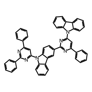 c1ccc(-c2cc(-n3c4ccccc4c4ccccc43)nc(-c3ccc4c(c3)c3ccccc3n4-c3cc(-c4ccccc4)nc(-c4ccccc4)n3)n2)cc1